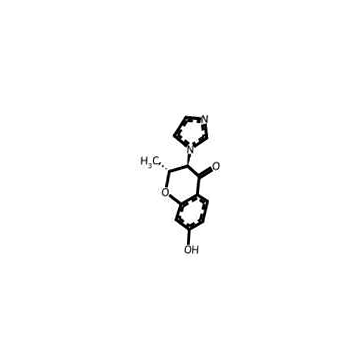 C[C@H]1Oc2cc(O)ccc2C(=O)[C@@H]1n1ccnc1